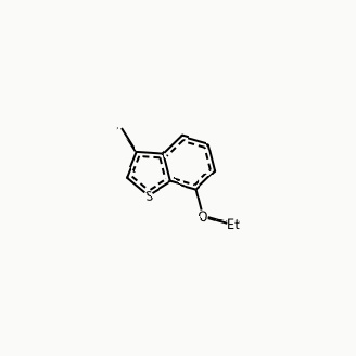 [CH2]c1csc2c(OCC)cccc12